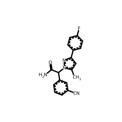 Cc1cc(-c2ccc(F)cc2)nn1C(C(N)=O)c1cccc(C#N)c1